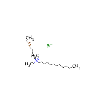 CCCCCCCCCCCC[N+](CC)(CC)CCCCCSCC.[Br-]